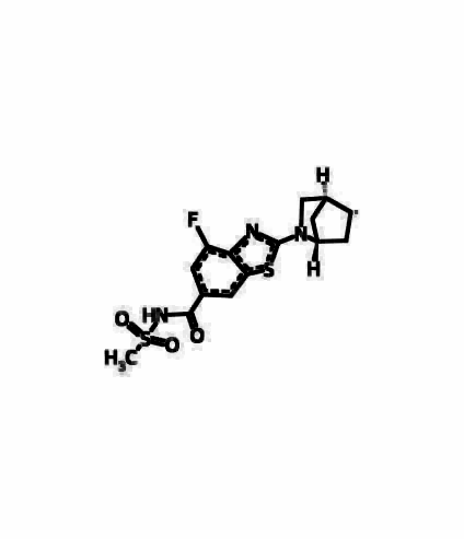 CS(=O)(=O)NC(=O)c1cc(F)c2nc(N3C[C@H]4[CH]C[C@H]3C4)sc2c1